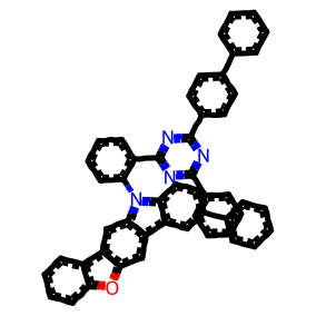 c1ccc(-c2ccc(-c3nc(-c4ccccc4)nc(-c4ccccc4-n4c5ccc(-c6ccccc6)cc5c5cc6oc7ccccc7c6cc54)n3)cc2)cc1